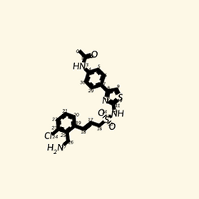 CC(=O)Nc1ccc(-c2csc(NS(=O)(=O)CC=Cc3cccc(Cl)c3CN)n2)cc1